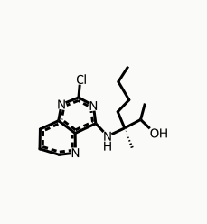 CCCC[C@](C)(Nc1nc(Cl)nc2cccnc12)C(C)O